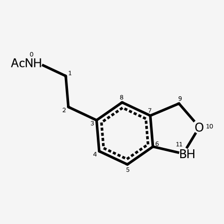 CC(=O)NCCc1ccc2c(c1)COB2